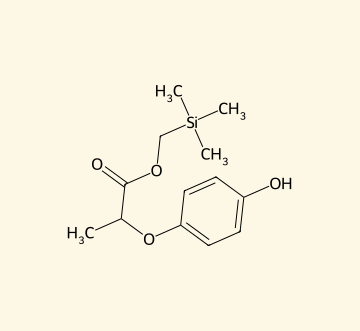 CC(Oc1ccc(O)cc1)C(=O)OC[Si](C)(C)C